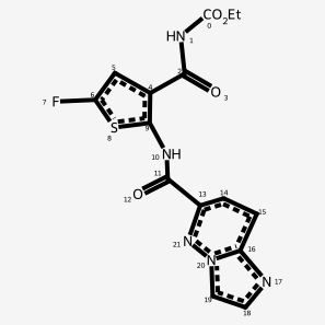 CCOC(=O)NC(=O)c1cc(F)sc1NC(=O)c1ccc2nccn2n1